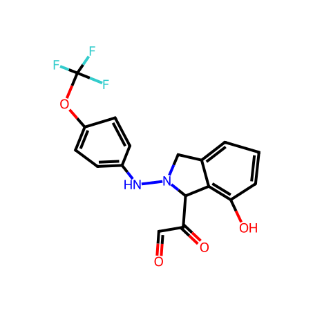 O=CC(=O)C1c2c(O)cccc2CN1Nc1ccc(OC(F)(F)F)cc1